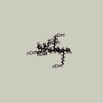 CCCCCCCCCCCCCCCCCc1c(-c2ccc(C)s2)sc2c1sc1c3sc(-c4ccc(C5=C6C(=O)N(CCC(CCCCCCCC)CCCCCCCCCC)C(c7ccc(C)s7)=C6C(=O)N5CCC(CCCCCCCC)CCCCCCCCCC)s4)c(CCCCCCCCCCCCCCCCC)c3sc21